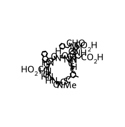 CNC1CSCc2cc(C)cc(c2)CSCC(C(=O)NC(CCC(=O)O)C(=O)NC(CC(=O)O)C(=O)NC(C=O)Cc2ccccc2)NC(=O)C(C)NC(=O)C(Cc2cccc3ccccc23)NC(=O)C(CCC(=O)O)NC(=O)NC(C)NC1=O